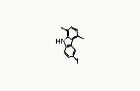 Cc1ccc(C)c2c1[nH]c1ccc(I)cc12